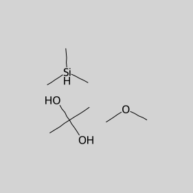 CC(C)(O)O.COC.C[SiH](C)C